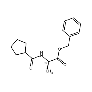 C[C@@H](NC(=O)C1CCCC1)C(=O)OCc1ccccc1